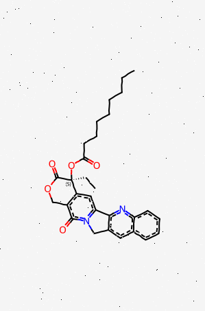 CCCCCCCCC(=O)O[C@]1(CC)C(=O)OCc2c1cc1n(c2=O)Cc2cc3ccccc3nc2-1